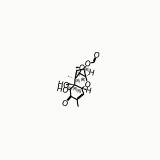 CC1=C[C@H]2O[C@@H]3[C@H](OC=O)C[C@](C)([C@@]2(CO)[C@H](O)C1=O)[C@]31CO1